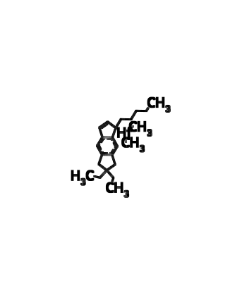 CCCCC[C]1([Hf]([CH3])[CH3])C=Cc2cc3c(cc21)CC(CC)(CC)C3